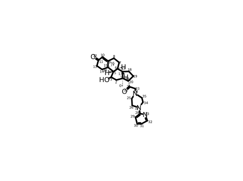 C[C@]12CC(O)[C@H]3[C@@H](CCC4=CC(=O)CC[C@@]43C)[C@@H]1CC[C@@H]2C(=O)CN1CCN(c2ccccn2)CC1